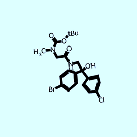 CN(CC(=O)NCC(O)(c1ccc(Cl)cc1)c1ccc(Br)cc1)C(=O)OC(C)(C)C